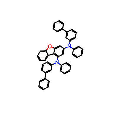 c1ccc(-c2cccc(N(c3ccccc3)c3cc(N(c4ccccc4)c4cccc(-c5ccccc5)c4)c4c(c3)oc3ccccc34)c2)cc1